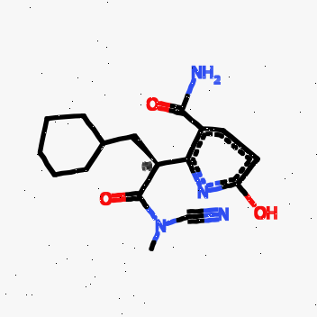 CN(C#N)C(=O)[C@@H](CC1CCCCC1)c1nc(O)ccc1C(N)=O